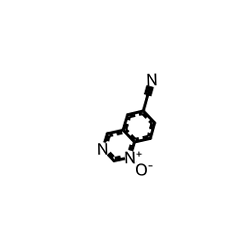 N#Cc1ccc2c(cnc[n+]2[O-])c1